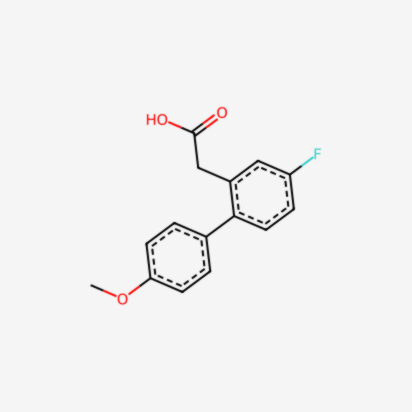 COc1ccc(-c2ccc(F)cc2CC(=O)O)cc1